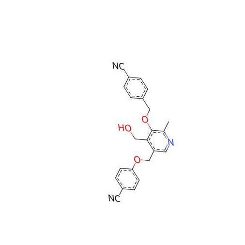 Cc1ncc(COc2ccc(C#N)cc2)c(CO)c1OCc1ccc(C#N)cc1